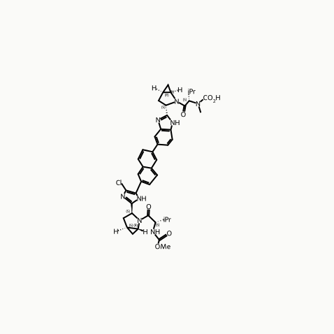 COC(=O)N[C@H](C(=O)N1[C@@H]2C[C@H]2C[C@H]1c1nc(Cl)c(-c2ccc3cc(-c4ccc5[nH]c([C@@H]6C[C@H]7C[C@H]7N6C(=O)[C@H](C(C)C)N(C)C(=O)O)nc5c4)ccc3c2)[nH]1)C(C)C